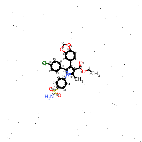 CCOC(=O)c1c(-c2ccc3c(c2)OCO3)c(-c2ccc(Cl)cc2)n(-c2ccc(S(N)(=O)=O)cc2)c1C